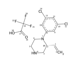 C=C[C@@H]1CNCCN1c1cc(Cl)cc(Cl)c1.O=C(O)C(F)(F)F